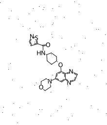 O=C(N[C@H]1CC[C@@H](Oc2cc(N3CCOCC3)cc3nccnc23)CC1)c1ccns1